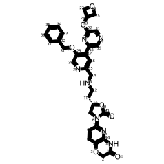 O=C1COc2ccc(N3C[C@H](CCNCc4cc(-c5cncc(OC6COC6)n5)c(OCc5ccccc5)cn4)OC3=O)nc2N1